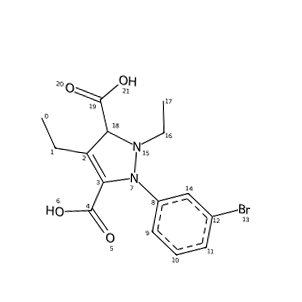 CCC1=C(C(=O)O)N(c2cccc(Br)c2)N(CC)C1C(=O)O